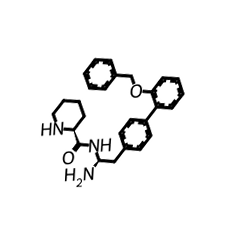 N[C@H](Cc1ccc(-c2ccccc2OCc2ccccc2)cc1)NC(=O)[C@@H]1CCCCN1